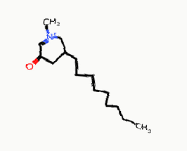 CCCCCCCCCC1CC(=O)C=[N+](C)C1